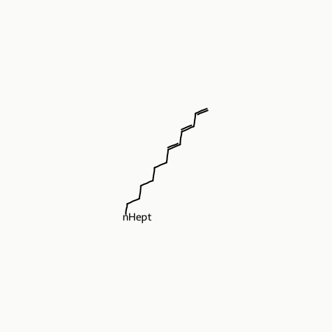 C=CC=CC=CCCCCCCCCCCCCC